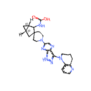 O=C(O)NC1[C@H]2C[C@H]2CC12CCN(c1cnc3c(N4CCCc5ncccc54)n[nH]c3n1)CC2